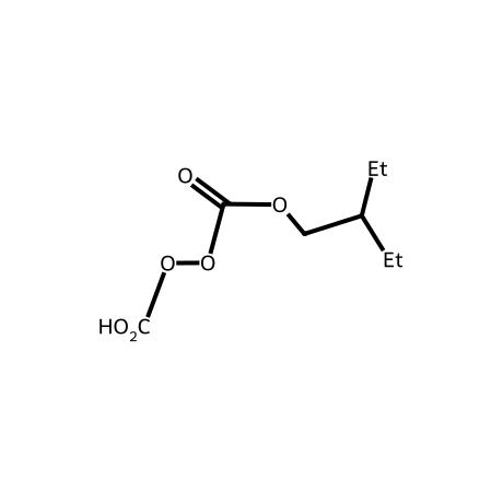 CCC(CC)COC(=O)OOC(=O)O